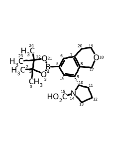 CC1(C)OB(c2cc3c(c([C@@H]4CCCN4C(=O)O)c2)COCC3)OC1(C)C